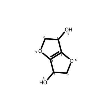 OC1COC2=C1OCC2O